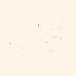 CC(C)C/C(O)=C(\C#N)C(=O)c1ccc(F)s1